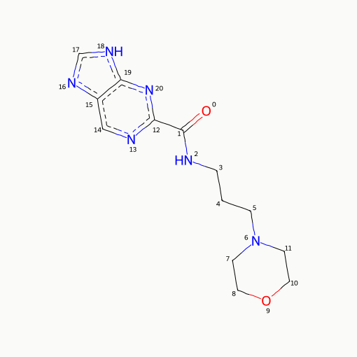 O=C(NCCCN1CCOCC1)c1ncc2nc[nH]c2n1